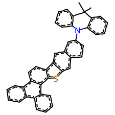 CC1(C)c2ccccc2N(c2ccc3cc4sc5c(ccc6c7ccccc7c7ccccc7c65)c4cc3c2)c2ccccc21